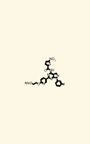 COCCOc1ccc(-c2nc(NC(=O)c3ccc([N+](=O)[O-])s3)c3cnn(-c4cccc(F)c4)c3n2)cn1